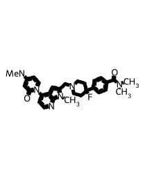 CNc1ccn(-c2ccnc3c2cc(CN2CCC(F)(c4ccc(C(=O)N(C)C)cc4)CC2)n3C)c(=O)c1